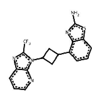 Nc1nc2c(C3CC(n4c(C(F)(F)F)nc5cccnc54)C3)cccc2s1